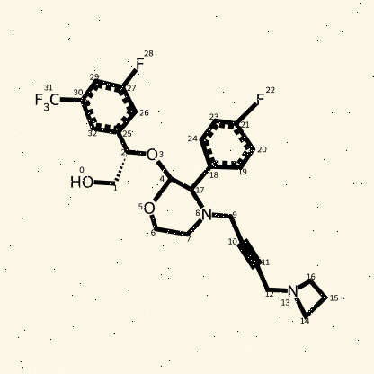 OC[C@@H](OC1OCCN(CC#CCN2CCC2)C1c1ccc(F)cc1)c1cc(F)cc(C(F)(F)F)c1